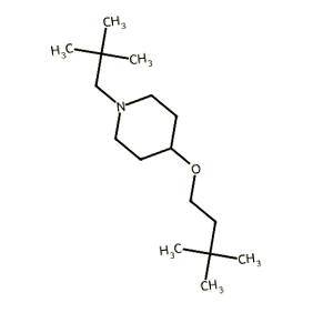 CC(C)(C)CCOC1CCN(CC(C)(C)C)CC1